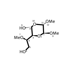 CO[C@H]1O[C@@H]([C@@H](CO)OC)[C@H](O)O[C@@H]1OC